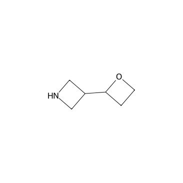 C1CC(C2CNC2)O1